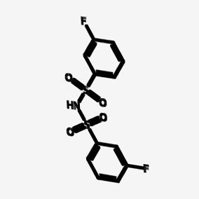 O=S(=O)(NS(=O)(=O)c1cccc(F)c1)c1cccc(F)c1